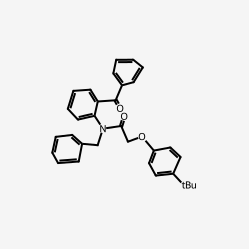 CC(C)(C)c1ccc(OCC(=O)N(Cc2ccccc2)c2ccccc2C(=O)c2ccccc2)cc1